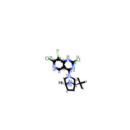 CC(C)(C)[C@]12CC[C@@H](CN(c3nc(Cl)nc4c(F)c(Cl)ncc34)C1)N2